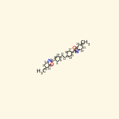 Cc1ccc2nc(-c3ccc(C=Cc4ccc(-c5nc6ccc(C)cc6o5)cc4)cc3)oc2c1